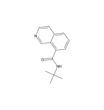 CC(C)(C)NC(=O)c1cccc2ccncc12